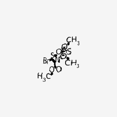 CCOC(=O)c1nc(OP(=S)(OCC)OCC)sc1Br